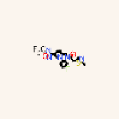 Cc1ncc(CC(=O)N(Cc2ccc(-c3noc(C(F)(F)F)n3)cn2)c2cccc(F)c2)s1